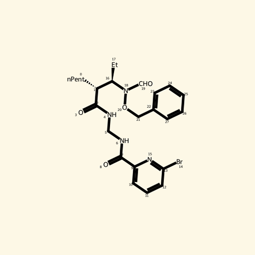 CCCCC[C@@H](C(=O)NCNC(=O)c1cccc(Br)n1)[C@@H](CC)N(C=O)OCc1ccccc1